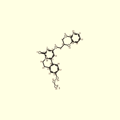 O=c1nc(OCC2COc3ncccc3O2)cc2n1CCc1cc(OOC(F)(F)F)ccc1-2